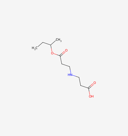 CCC(C)OC(=O)CCNCCC(=O)O